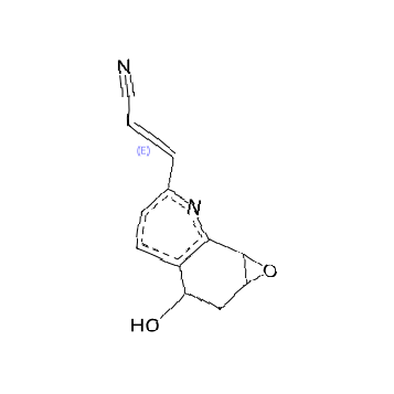 N#C/C=C/c1ccc2c(n1)C1OC1CC2O